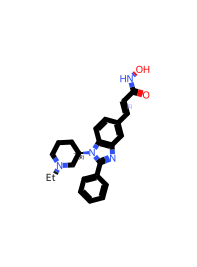 CCN1CCC[C@@H](n2c(-c3ccccc3)nc3cc(/C=C/C(=O)NO)ccc32)C1